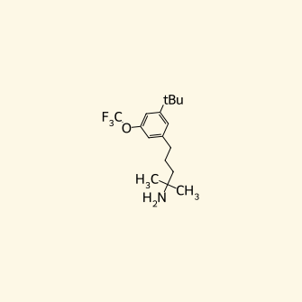 CC(C)(N)CCCc1cc(OC(F)(F)F)cc(C(C)(C)C)c1